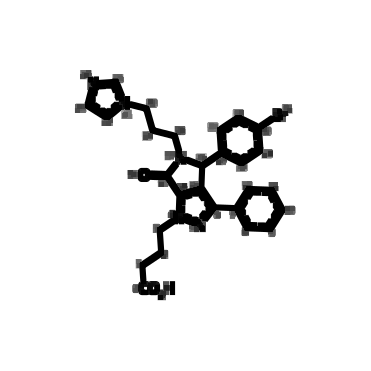 O=C(O)CCCn1nc(-c2ccccc2)c2c1C(=O)N(CCCn1ccnc1)C2c1ccc(Br)cc1